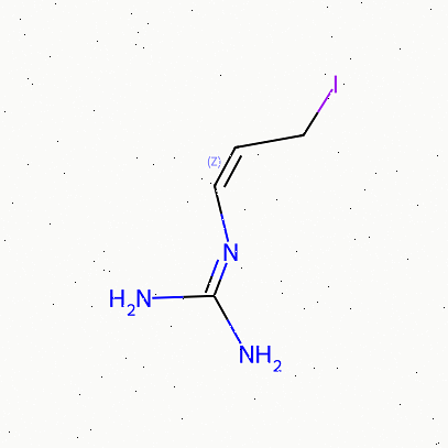 NC(N)=N/C=C\CI